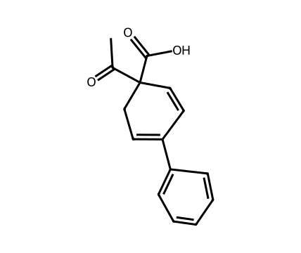 CC(=O)C1(C(=O)O)C=CC(c2ccccc2)=CC1